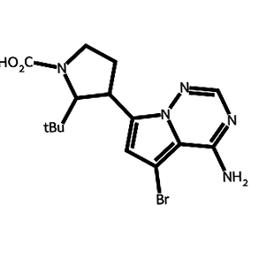 CC(C)(C)C1C(c2cc(Br)c3c(N)ncnn23)CCN1C(=O)O